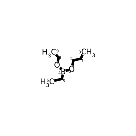 CCCOB(CC)OCC